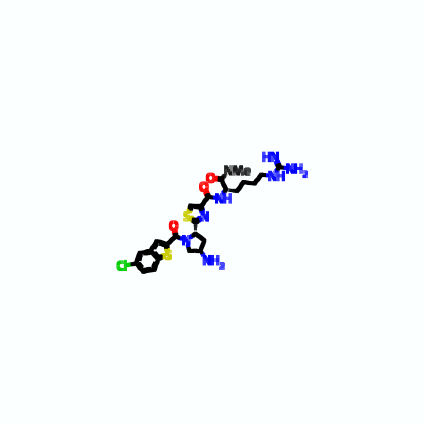 CNC(=O)[C@@H](CCCCNC(=N)N)NC(=O)c1csc([C@@H]2C[C@@H](N)CN2C(=O)c2cc3cc(Cl)ccc3s2)n1